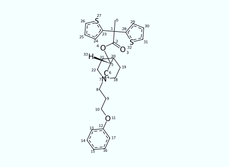 CC(C(=O)O[C@H]1C[N+]2(CCCOc3ccccc3)CCC1CC2)(c1cccs1)c1cccs1